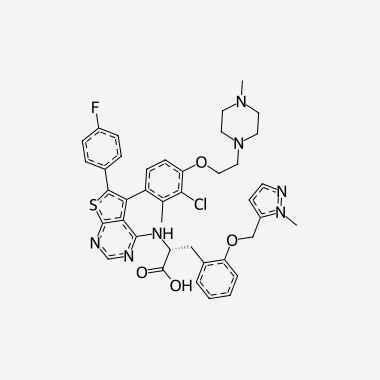 Cc1c(-c2c(-c3ccc(F)cc3)sc3ncnc(N[C@H](Cc4ccccc4OCc4ccnn4C)C(=O)O)c23)ccc(OCCN2CCN(C)CC2)c1Cl